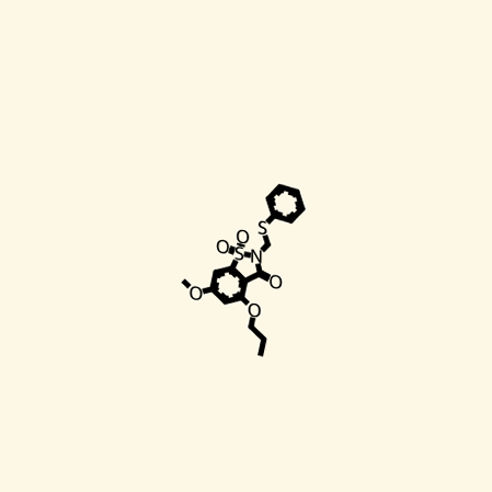 CCCOc1cc(OC)cc2c1C(=O)N(CSc1ccccc1)S2(=O)=O